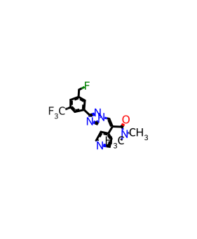 CN(C)C(=O)C(=Cn1cnc(-c2cc(CF)cc(C(F)(F)F)c2)n1)c1ccncc1